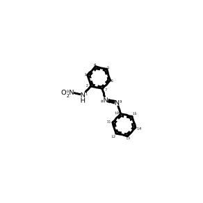 O=[N+]([O-])Nc1ccccc1N=Nc1ccccc1